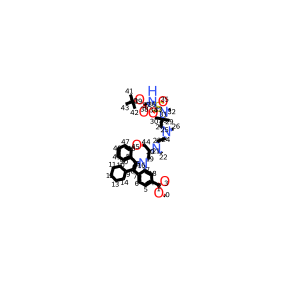 COC(=O)c1ccc2c(C3CCCCC3)c3n(c2c1)C[C@@H](N(C)CCN(C)CC(C)(C)N(C)S(=O)(=O)NC(=O)OC(C)(C)C)COc1ccccc1-3